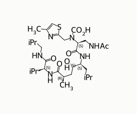 CC(=O)NC[C@@H](C(=O)N[C@@H](CC(C)C)[C@@H](O)C[C@@H](C)C(=O)N[C@H](C(=O)NCC(C)C)C(C)C)N(Cc1nc(C)cs1)C(=O)O